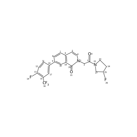 O=C(Cn1ccc2ccc(-c3ccc(F)c(C(F)(F)F)c3)cc2c1=O)N1CCC(F)C1